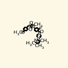 COc1ccc(CN2C(=O)C(C)N(c3ccc(C(=O)N4CCN(c5nc(C)c(C)cc5C)CC4)c(F)c3)C2=O)cc1